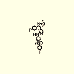 O=S(=O)(c1ccc(F)cc1)N1CCC(Nc2nccc(-c3c(-c4ccc(F)cc4)nc4sccn34)n2)CC1